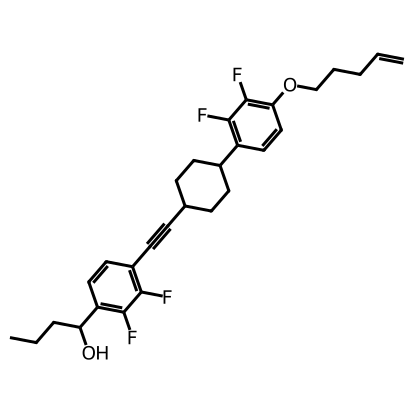 C=CCCCOc1ccc(C2CCC(C#Cc3ccc(C(O)CCC)c(F)c3F)CC2)c(F)c1F